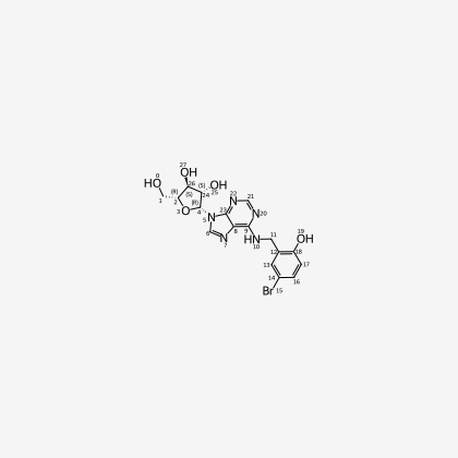 OC[C@H]1O[C@@H](n2cnc3c(NCc4cc(Br)ccc4O)ncnc32)[C@@H](O)[C@@H]1O